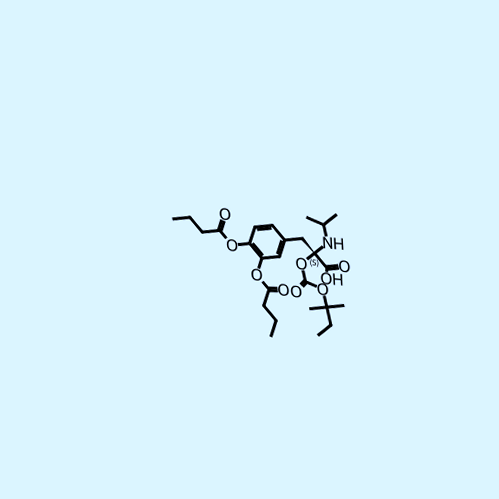 CCCC(=O)Oc1ccc(C[C@](NC(C)C)(OC(=O)OC(C)(C)CC)C(=O)O)cc1OC(=O)CCC